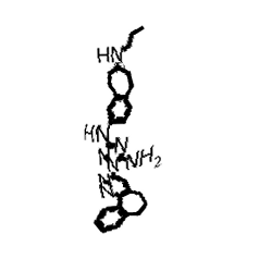 CCCN[C@H]1CCc2ccc(Nc3nc(N)n(-c4cc5c(nn4)-c4ccccc4CCC5)n3)cc2CC1